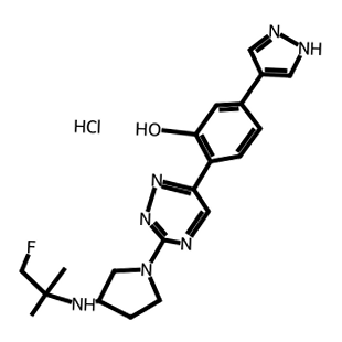 CC(C)(CF)NC1CCN(c2ncc(-c3ccc(-c4cn[nH]c4)cc3O)nn2)C1.Cl